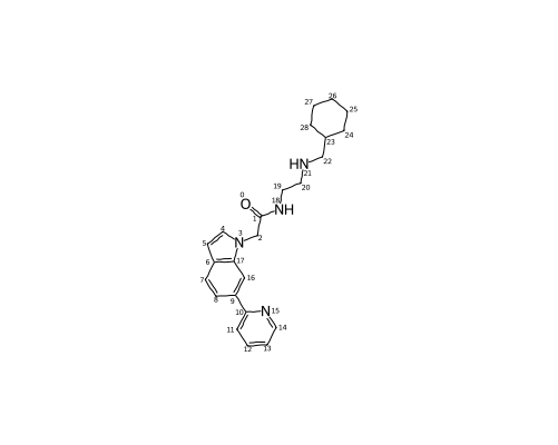 O=C(Cn1ccc2ccc(-c3ccccn3)cc21)NCCNCC1CCCCC1